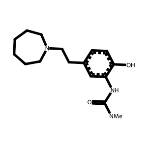 CNC(=O)Nc1cc(CCN2CCCCCC2)ccc1O